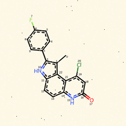 Cc1c(-c2ccc(F)cc2)[nH]c2ccc3[nH]c(=O)cc(Cl)c3c12